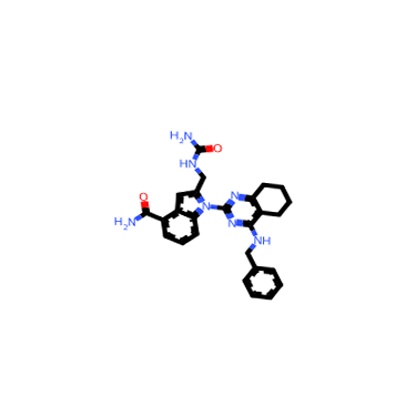 NC(=O)NCc1cc2c(C(N)=O)cccc2n1-c1nc2c(c(NCc3ccccc3)n1)CCCC2